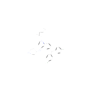 CC(C)(CCN=O)Oc1cc(NC2CCNCC2)c2cc(C(c3ccc(Cl)cc3)c3ccc(Cl)cc3)ccc2n1